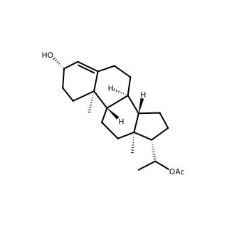 CC(=O)OC(C)[C@H]1CC[C@H]2[C@@H]3CCC4=C[C@@H](O)CC[C@]4(C)[C@H]3CC[C@]12C